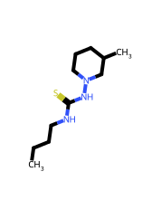 CCCCNC(=S)NN1CCCC(C)C1